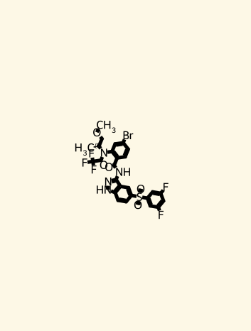 COC[C@@H](C)N(C(=O)C(F)(F)F)c1cc(Br)ccc1C(=O)Nc1n[nH]c2ccc(S(=O)(=O)c3cc(F)cc(F)c3)cc12